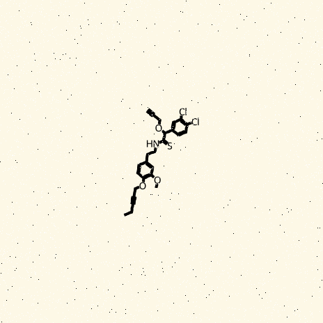 C#CCOC(C(=S)NCCc1ccc(OCC#CCC)c(OC)c1)c1ccc(Cl)c(Cl)c1